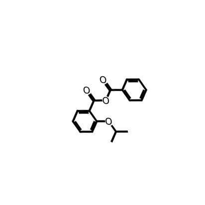 CC(C)Oc1ccccc1C(=O)OC(=O)c1ccccc1